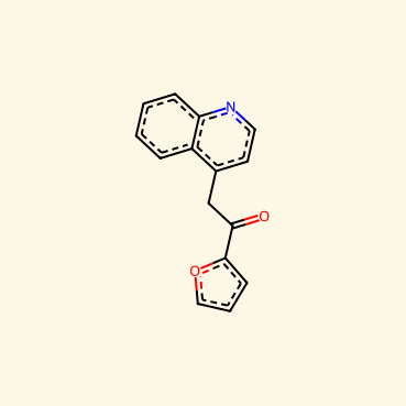 O=C(Cc1ccnc2ccccc12)c1ccco1